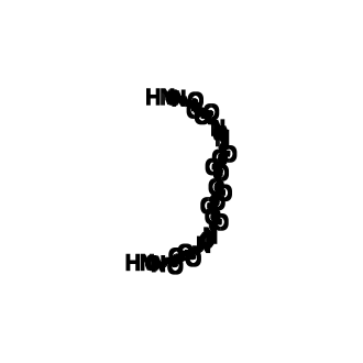 O=C(CCN1CCNCC1)OCOC(=O)CCN1CCN(CCC(=O)OCC(=O)OCCOC(=O)COC(=O)COC(=O)CCN2CCN(CCC(=O)OCOC(=O)CCN3CCNCC3)CC2)CC1